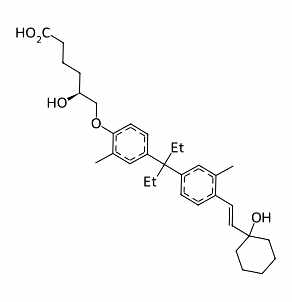 CCC(CC)(c1ccc(C=CC2(O)CCCCC2)c(C)c1)c1ccc(OC[C@@H](O)CCCC(=O)O)c(C)c1